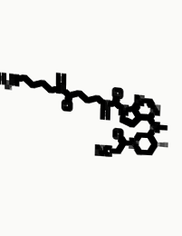 C[C@@H]1CCN(C(=O)CC#N)CC1N(C)c1ncnc2c1ccn2C(=O)NCCCC(=O)NCCCCN